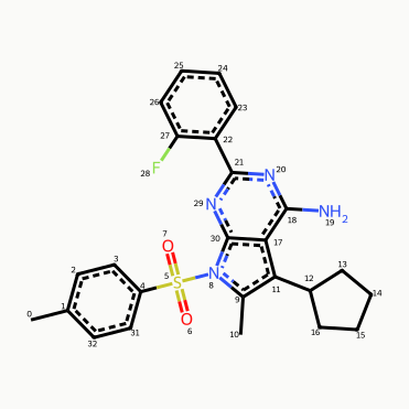 Cc1ccc(S(=O)(=O)n2c(C)c(C3CCCC3)c3c(N)nc(-c4ccccc4F)nc32)cc1